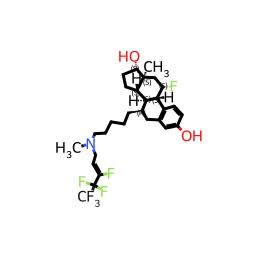 CN(CC=C(F)C(F)(F)C(F)(F)F)CCCCC[C@@H]1Cc2cc(O)ccc2[C@@H]2[C@@H]1[C@@H]1CC[C@H](O)[C@@]1(C)C[C@@H]2F